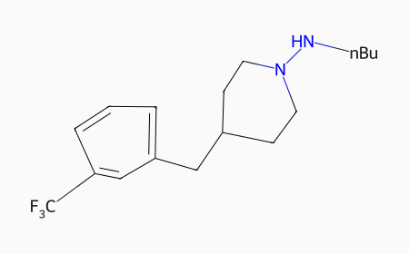 CCCCNN1CCC(Cc2cccc(C(F)(F)F)c2)CC1